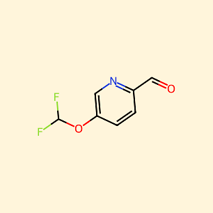 O=Cc1ccc(OC(F)F)cn1